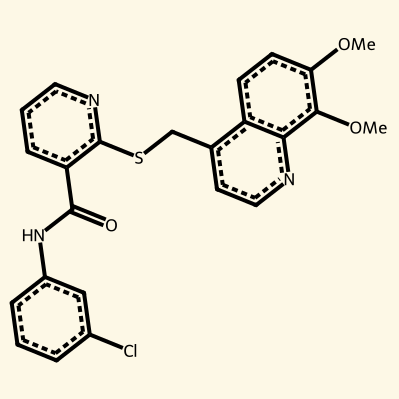 COc1ccc2c(CSc3ncccc3C(=O)Nc3cccc(Cl)c3)ccnc2c1OC